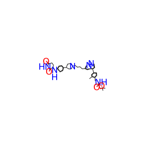 Cc1cc(-c2ccnn3cc(CCCCN4CCC(c5ccc(NC6CCC(=O)NC6=O)cc5)CC4)cc23)ccc1CNC(=O)OC(C)(C)C